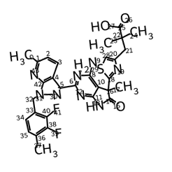 Cc1ccc2c(-c3nc(N)c4c(n3)NC(=O)C4(C)c3nc(CC(C)(C)C(=O)O)cs3)nn(Cc3ccc(C)c(F)c3F)c2n1